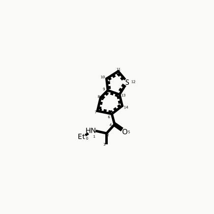 CCNC(C)C(=O)c1ccc2ccsc2c1